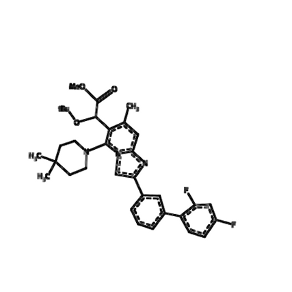 COC(=O)C(OC(C)(C)C)c1c(C)cc2nc(-c3cccc(-c4ccc(F)cc4F)c3)cn2c1N1CCC(C)(C)CC1